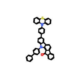 O=C1c2ccccc2-c2ccc3c4cc(-c5ccc(N6c7ccccc7Sc7ccccc76)cc5)ccc4n(-c4ccc(-c5ccccc5)cc4)c3c21